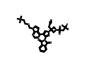 C[Si](C)(C)CCOCn1ccc2c(-c3cn(C4(CC#N)CN(S(=O)(=O)CC(F)(F)F)C4)nc3N3C(=O)c4ccccc4C3=O)ncnc21